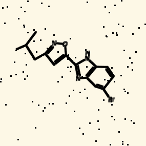 CC(C)Cc1cc(-c2nc3cc(Br)ccc3[nH]2)on1